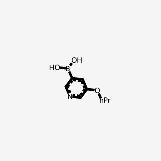 CCCOc1cncc(B(O)O)c1